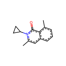 Cc1cccc2cc(C)n(C3CC3)c(=O)c12